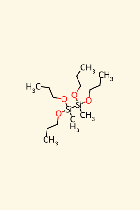 CCCO[Si](C)(OCCC)[Si](C)(OCCC)OCCC